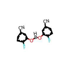 N#Cc1ccc(F)c(OBOc2cc(C#N)ccc2F)c1